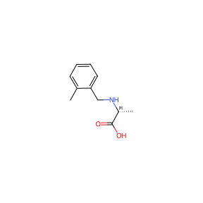 Cc1ccccc1CN[C@H](C)C(=O)O